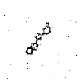 c1ccc2nc(-c3cnn(C4CCCNC4)c3)cnc2c1